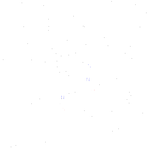 Cc1ccc(N2CCN(C(=O)c3ccc(N4CCC4=O)cc3)CC2)c(C)c1